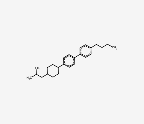 CCCCc1ccc(-c2ccc(C3CCC(CC(C)C)CC3)cc2)cc1